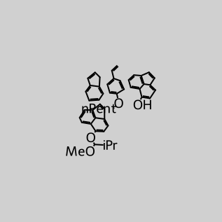 C1=Cc2ccccc2C1.C=Cc1ccc(OCCCCC)cc1.COC(Oc1ccc2c3c(cccc13)C=C2)C(C)C.Oc1ccc2c3c(cccc13)C=C2